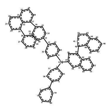 c1ccc(-c2ccc(N(c3ccc(-c4ccc(-c5cccc6cccc(-c7ccccc7)c56)cc4)cc3)c3cc(-c4cccc5ccccc45)c4ccccc4c3)cc2)cc1